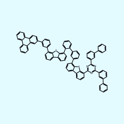 c1ccc(-c2cccc(-c3nc(-c4cccc(-c5ccccc5)c4)nc(-c4cccc5c4sc4c(-c6cccc(-c7ccccc7-c7cccc8c7sc7c(-c9cccc(-c%10ccc%11c%12ccccc%12c%12ccccc%12c%11c%10)c9)cccc78)c6)cccc45)n3)c2)cc1